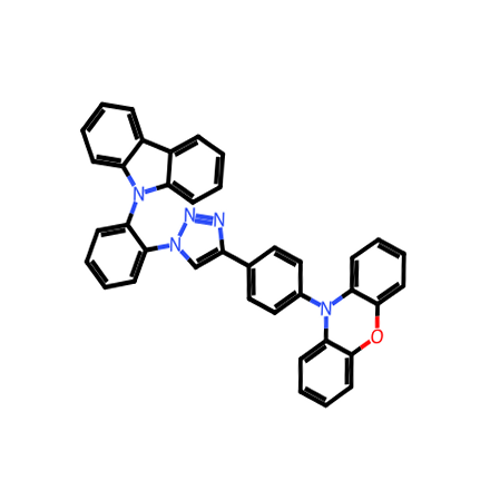 c1ccc2c(c1)Oc1ccccc1N2c1ccc(-c2cn(-c3ccccc3-n3c4ccccc4c4ccccc43)nn2)cc1